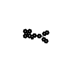 CC1(C)C2=C(c3ccc(-c4ccc(N(c5ccc6ccccc6c5)c5ccc6ccccc6c5)cc4)cc31)C1c3ccccc3C3(c4ccccc4-c4ccccc43)C1C=C2